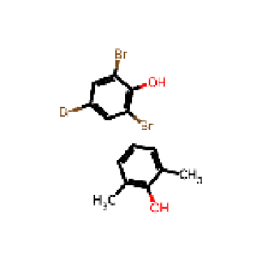 Cc1cccc(C)c1O.Oc1c(Br)cc(Br)cc1Br